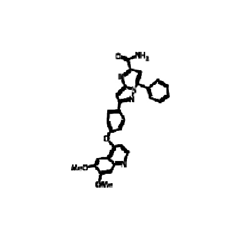 COc1cc2nccc(Oc3ccc(-c4cc5nc(C(N)=O)cc(-c6ccccc6)n5n4)cc3)c2cc1OC